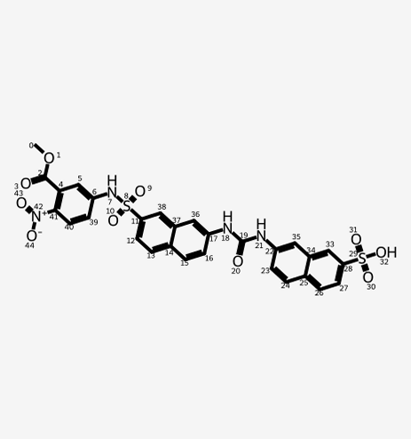 COC(=O)c1cc(NS(=O)(=O)c2ccc3ccc(NC(=O)Nc4ccc5ccc(S(=O)(=O)O)cc5c4)cc3c2)ccc1[N+](=O)[O-]